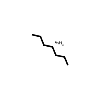 CCCCCCC.[AsH3]